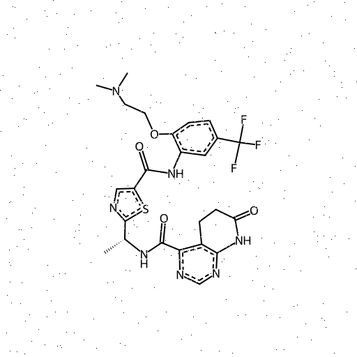 C[C@@H](NC(=O)c1ncnc2c1CCC(=O)N2)c1ncc(C(=O)Nc2cc(C(F)(F)F)ccc2OCCN(C)C)s1